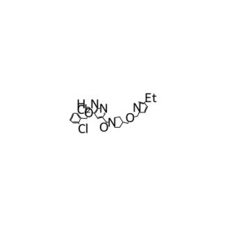 CCc1ccc(COCC2CCN(C(=O)c3cnc(N)c(OCc4c(Cl)cccc4Cl)c3)CC2)nc1